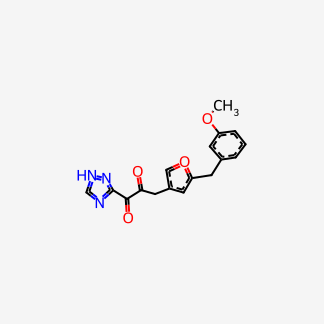 COc1cccc(Cc2cc(CC(=O)C(=O)c3nc[nH]n3)co2)c1